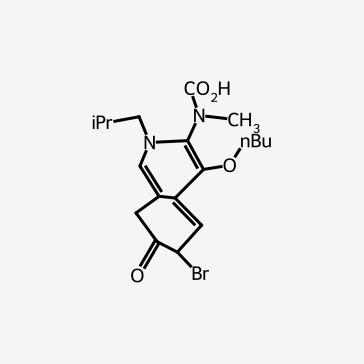 CCCCOC1=C(N(C)C(=O)O)N(CC(C)C)C=C2CC(=O)C(Br)C=C21